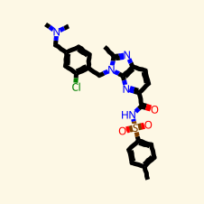 Cc1ccc(S(=O)(=O)NC(=O)c2ccc3nc(C)n(Cc4ccc(CN(C)C)cc4Cl)c3n2)cc1